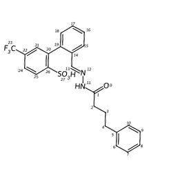 O=C(CCCc1ccccc1)NN=Cc1ccccc1-c1cc(C(F)(F)F)ccc1S(=O)(=O)O